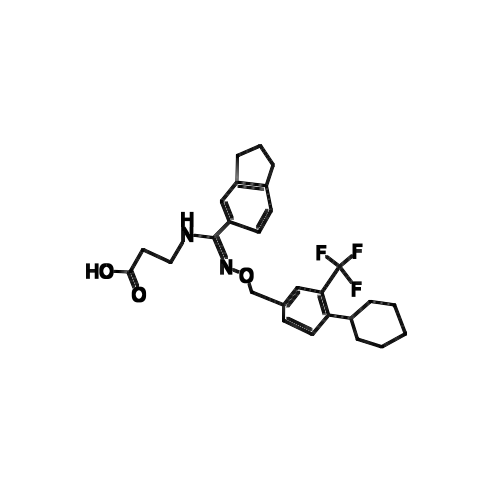 O=C(O)CCN/C(=N/OCc1ccc(C2CCCCC2)c(C(F)(F)F)c1)c1ccc2c(c1)CCC2